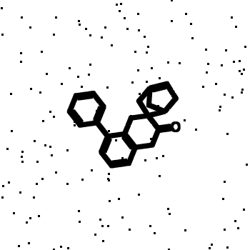 O=C1Cc2cccc(-c3ccccc3)c2CC12CC1=CCC2C1